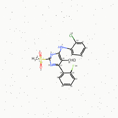 CS(=O)(=O)c1nc(Nc2ccccc2Cl)c(C=O)c(-c2ccccc2F)n1